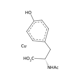 CC(=O)N[C@@H](Cc1ccc(O)cc1)C(=O)O.[Cu]